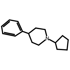 c1ccc(C2CCN(C3CCCC3)CC2)cc1